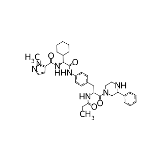 CCC(=O)NC(Cc1ccc(NC(=O)[C@@H](NC(=O)c2ccnn2C)C2CCCCC2)cc1)C(=O)N1CCNC(c2ccccc2)C1